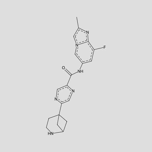 Cc1cn2cc(NC(=O)c3cnc(C45CCNC(C4)C5)cn3)cc(F)c2n1